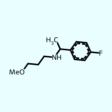 COCCCNC(C)c1ccc(F)cc1